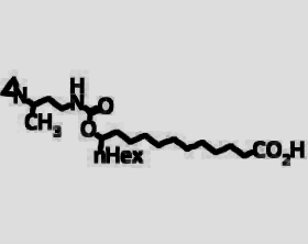 CCCCCCC(CCCCCCCCCCC(=O)O)OC(=O)NCCC(C)N1CC1